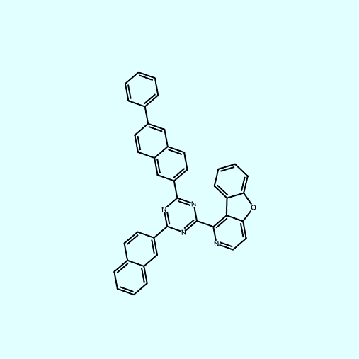 c1ccc(-c2ccc3cc(-c4nc(-c5ccc6ccccc6c5)nc(-c5nccc6oc7ccccc7c56)n4)ccc3c2)cc1